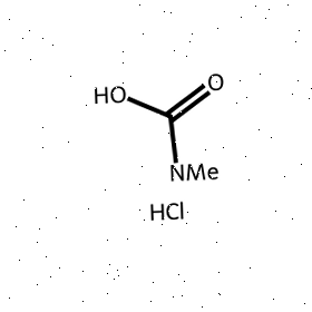 CNC(=O)O.Cl